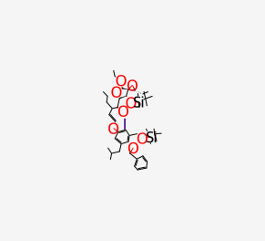 CCCC(/C=C/Oc1cc(CC(C)C)c(OCc2ccccc2)c(CO[Si](C)(C)C(C)(C)C)c1I)C(=O)C[C@H](O[Si](C)(C)C(C)(C)C)[C@]1(C(=O)OCC)O[C@@H]1CC